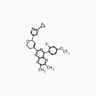 Cc1nc2nc(C3=CC(c4cnn(C5CC5)c4)OCC3)nc(-c3ccc(OC(F)(F)F)cc3F)c2nc1C